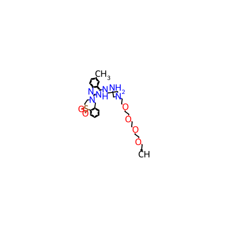 C#CCOCCOCCOCCOCCN1CC(N)(CNc2nc(N3CCS(=O)(=O)c4ccccc4C3)nc3ccc(C)cc23)C1